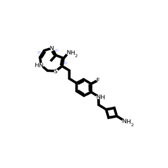 CC1=N\C=C/NCS/C(CCc2ccc(NCC3CC(N)C3)c(F)c2)=C\1N